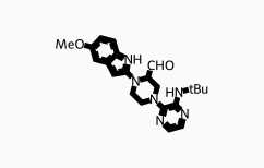 COc1ccc2[nH]c(N3CCN(c4nccnc4NC(C)(C)C)CC3C=O)cc2c1